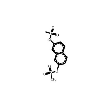 CS(=O)(=O)Oc1ccc2ccc(OS(=O)(=O)C(F)(F)F)cc2c1